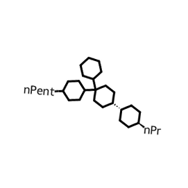 CCCCCC1CCC(C2(C3CCCCC3)CCC([C@H]3CC[C@H](CCC)CC3)CC2)CC1